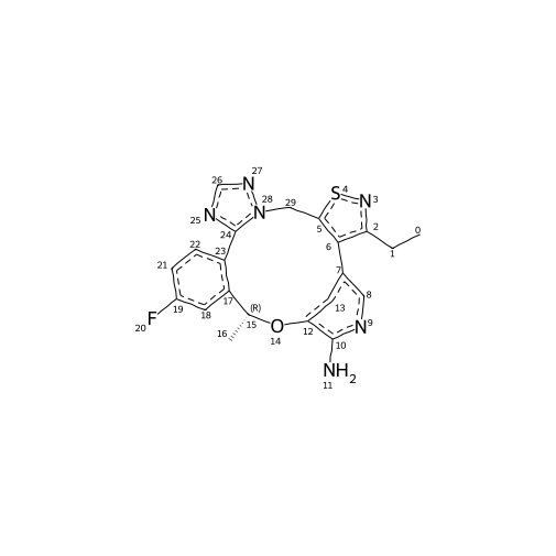 CCc1nsc2c1-c1cnc(N)c(c1)O[C@H](C)c1cc(F)ccc1-c1ncnn1C2